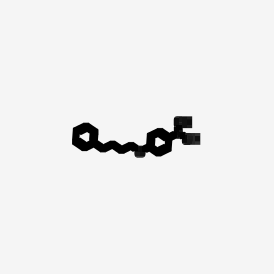 OB(O)c1ccc(OCCCCc2ccccc2)cc1